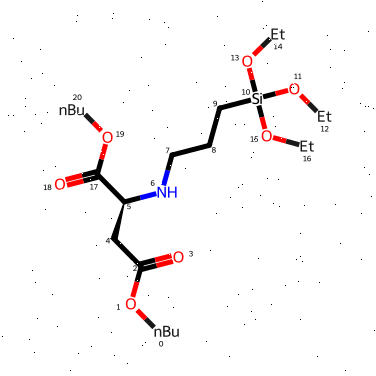 CCCCOC(=O)C[C@H](NCCC[Si](OCC)(OCC)OCC)C(=O)OCCCC